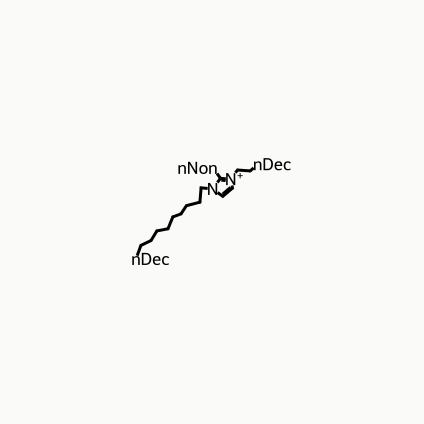 CCCCCCCCCCCCCCCCCCCn1cc[n+](CCCCCCCCCCCC)c1CCCCCCCCC